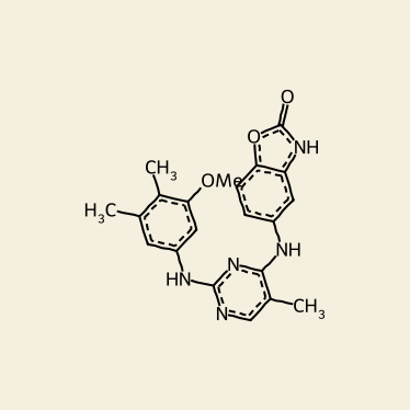 COc1cc(Nc2ncc(C)c(Nc3ccc4oc(=O)[nH]c4c3)n2)cc(C)c1C